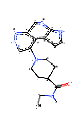 CN(CC#N)C(=O)C1CCN(c2cnnc3cnc4[nH]ccc4c23)CC1